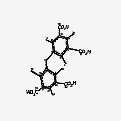 Cc1c(Cc2c(C)c(C(=O)O)c(C)c(C(=O)O)c2C)c(C)c(C(=O)O)c(C)c1C(=O)O